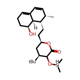 C[C@H]1C=CC2=CCC[C@H](O)[C@@H]2[C@H]1CC[C@@H]1C[C@H](C(C)(C)C)C(O[SiH](C)C)C(=O)O1